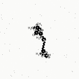 COc1cc2c(cc1OC(C)C)[C@H](c1ccc(Cl)cc1)N(c1ccc(N(C)CC3CCN(CCCCCCc4ccc5c(c4)n(C)c(=O)n5C4CCC(=O)NC4=O)CC3)cc1)C(=O)C2